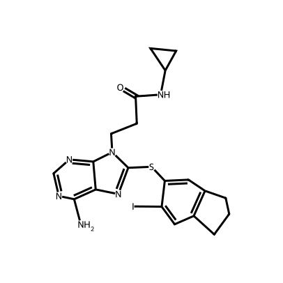 Nc1ncnc2c1nc(Sc1cc3c(cc1I)CCC3)n2CCC(=O)NC1CC1